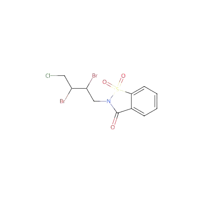 O=C1c2ccccc2S(=O)(=O)N1CC(Br)C(Br)CCl